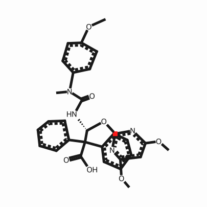 COc1ccc(N(C)C(=O)N[C@H](Oc2nc(OC)cc(OC)n2)C(C(=O)O)(c2ccccc2)c2ccccc2)cc1